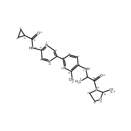 CC(Nc1ccc(-c2cnc(NC(=O)C3CC3)cn2)nc1C#N)C(=O)N1CCOC1C(F)(F)F